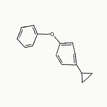 c1ccc(Oc2ccc([C]3CC3)cc2)cc1